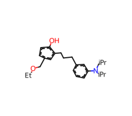 CCOCc1ccc(O)c(CCCc2cccc(N(C(C)C)C(C)C)c2)c1